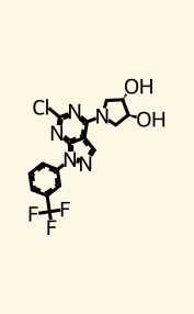 O[C@H]1CN(c2nc(Cl)nc3c2cnn3-c2cccc(C(F)(F)F)c2)C[C@@H]1O